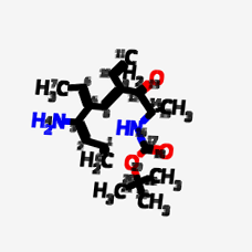 C=C\C=C(N)/C(=C\C)/C=C(\C=C)C(=O)[C@H](C)NC(=O)OC(C)(C)C